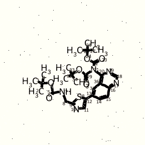 CC(C)(C)OC(=O)NCc1ncc(-c2ccc3ncnc(N(C(=O)OC(C)(C)C)C(=O)OC(C)(C)C)c3c2)s1